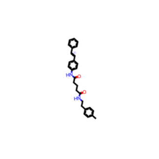 Cc1ccc(CCNC(=O)CCCC(=O)Nc2ccc(/C=C/c3ccccc3)cc2)cc1